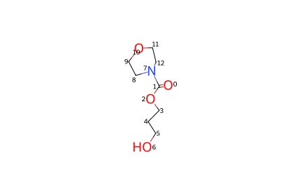 O=C(OCCCO)N1CCOCC1